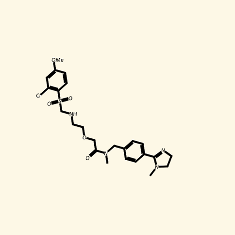 COc1ccc(S(=O)(=O)CNCCOCC(=O)N(C)Cc2ccc(C3=NCCN3C)cc2)c(Cl)c1